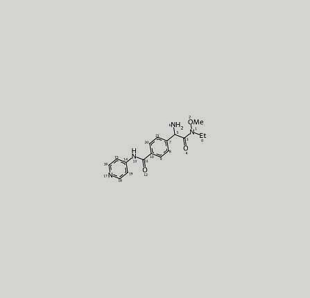 CCN(OC)C(=O)C(N)c1ccc(C(=O)Nc2ccncc2)cc1